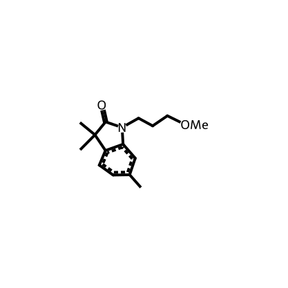 COCCCN1C(=O)C(C)(C)c2ccc(C)cc21